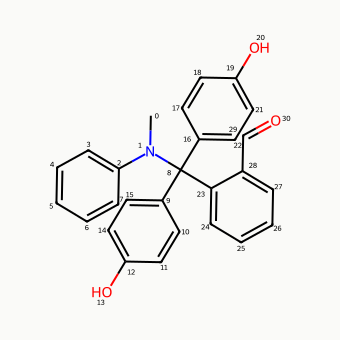 CN(c1ccccc1)C(c1ccc(O)cc1)(c1ccc(O)cc1)c1ccccc1C=O